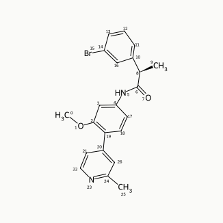 COc1cc(NC(=O)[C@H](C)c2cccc(Br)c2)ccc1-c1ccnc(C)c1